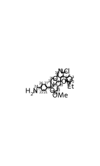 CCc1cccc(-c2c(C(O)(CCCCOC)C3CN(C(=O)c4ccc(CN)cc4)CCO3)ccnc2Cl)c1